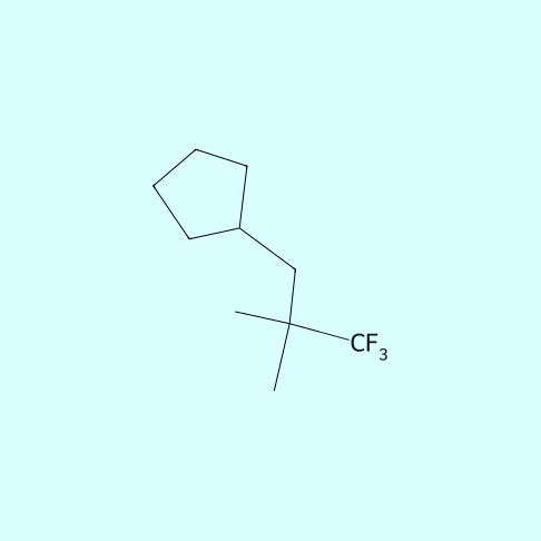 CC(C)(CC1CCCC1)C(F)(F)F